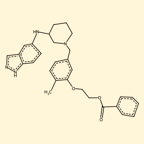 Cc1ccc(CN2CCCC(Nc3ccc4[nH]ncc4c3)C2)cc1OCCOC(=O)c1ccccc1